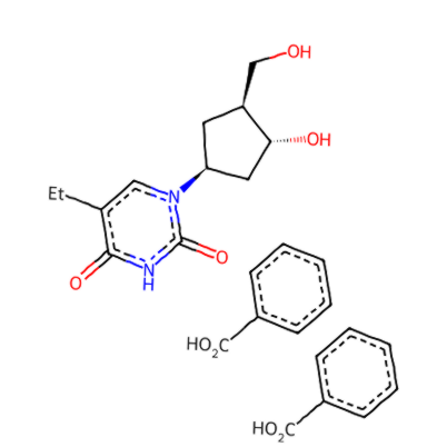 CCc1cn([C@H]2C[C@@H](CO)[C@H](O)C2)c(=O)[nH]c1=O.O=C(O)c1ccccc1.O=C(O)c1ccccc1